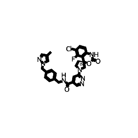 Cc1cnn(Cc2ccc(CNC(=O)c3cnnc(N4CC[C@]5(C4)OC(=O)Nc4ccc(Cl)c(F)c45)c3)cc2)c1